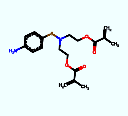 C=C(C)C(=O)OCCN(CCOC(=O)C(=C)C)Sc1ccc(N)cc1